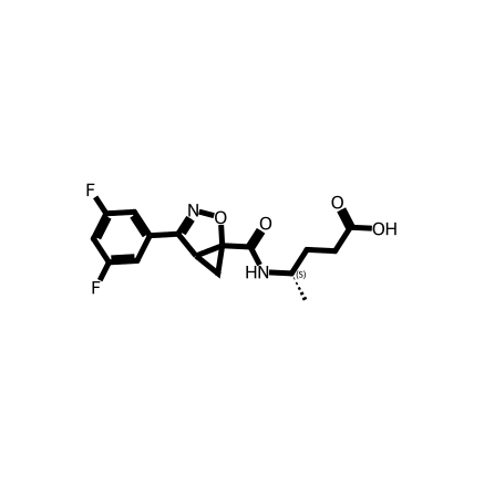 C[C@@H](CCC(=O)O)NC(=O)C12CC1C(c1cc(F)cc(F)c1)=NO2